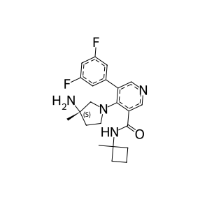 CC1(NC(=O)c2cncc(-c3cc(F)cc(F)c3)c2N2CC[C@](C)(N)C2)CCC1